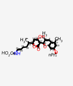 CCCOc1ccc(C=C(C)C(=O)c2c(O)cc(C(C)CC/C=C/NC(=O)O)oc2=O)c(C)c1